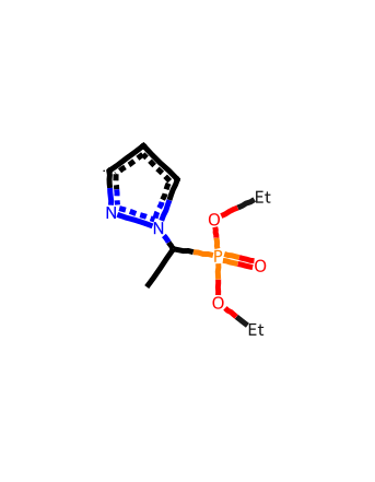 CCOP(=O)(OCC)C(C)n1cc[c]n1